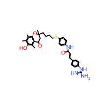 Cc1c(C)c2c(c(C)c1O)C(=O)CC(C)(CCCCSc1ccc(NC(=O)C=Cc3ccc(NC(=N)N)cc3)cc1)O2